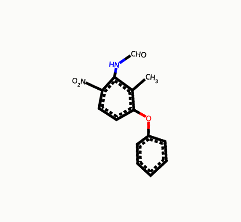 Cc1c(Oc2ccccc2)ccc([N+](=O)[O-])c1NC=O